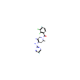 CC1CC(N(N)c2ncc(F)cn2)=C(N)CN1C(=O)c1ccc(F)c(Cl)c1Cl